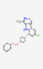 Cc1nccc2c1[nH]c1c(-c3ccc(OCc4ccccc4)cc3)cc(Cl)cc12